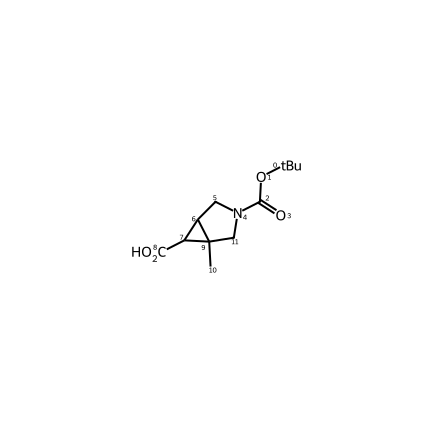 CC(C)(C)OC(=O)N1CC2C(C(=O)O)C2(C)C1